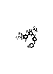 Cc1nc2c(F)cc(-c3nc(Nc4ccc(CN5CCNCC5)cn4)ncc3F)cc2n1C(C)C.O=C(O)C(F)(F)F